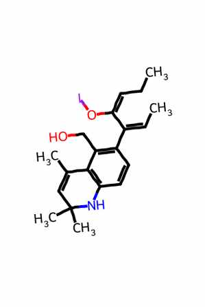 C/C=C(\C(=C/CC)OI)c1ccc2c(c1CO)C(C)=CC(C)(C)N2